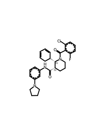 O=C(Nc1cccc(N2CCCC2)c1)[C@H]1CCCN(C(=O)c2c(F)cccc2Cl)[C@H]1C1C=CC=CC1